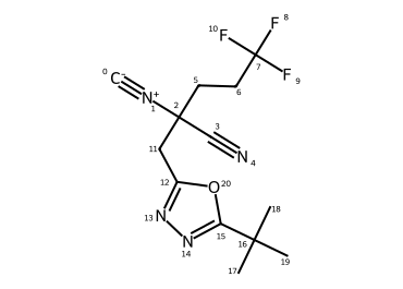 [C-]#[N+]C(C#N)(CCC(F)(F)F)Cc1nnc(C(C)(C)C)o1